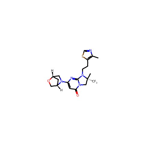 Cc1ncsc1CCN1c2nc(N3C[C@@H]4C[C@H]3CO4)cc(=O)n2C[C@@]1(C)C(F)(F)F